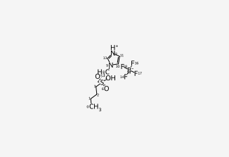 CCCCS(=O)(=O)O.Cn1cc[nH+]c1.F[B-](F)(F)F